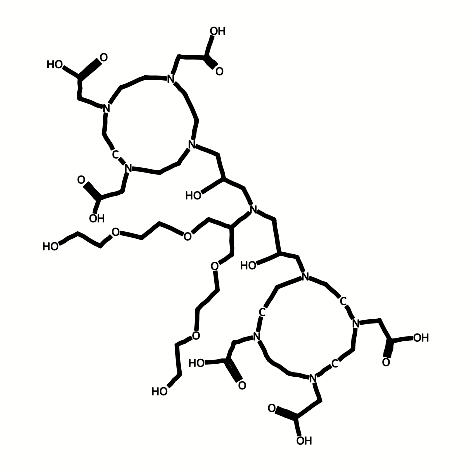 O=C(O)CN1CCN(CC(=O)O)CCN(CC(O)CN(CC(O)CN2CCN(CC(=O)O)CCN(CC(=O)O)CCN(CC(=O)O)CC2)C(COCCOCCO)COCCOCCO)CCN(CC(=O)O)CC1